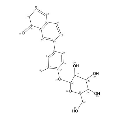 Cc1cc(-c2ccc3c(c2)C(=O)CC=C3)ccc1OC1OC(CO)C(O)C(O)C1O